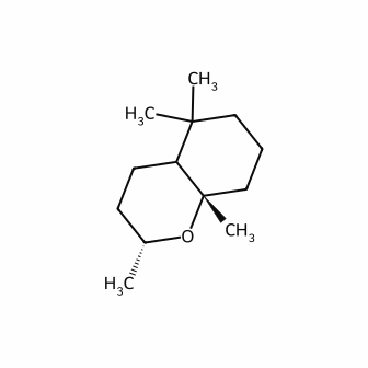 C[C@@H]1CCC2C(C)(C)CCC[C@]2(C)O1